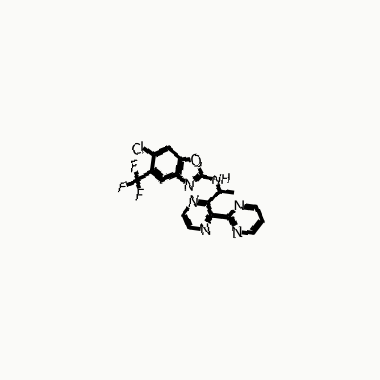 CC(Nc1nc2cc(C(F)(F)F)c(Cl)cc2o1)c1nccnc1-c1ncccn1